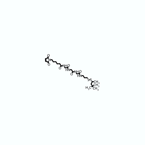 CC(CC(C)(C)C)SSCCCNC(=O)CNC(=O)CNC(=O)CNC(=O)CCCCCN1C(=O)C=CC1=O